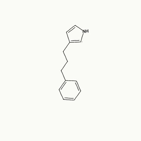 [c]1[nH]ccc1CCCc1ccccc1